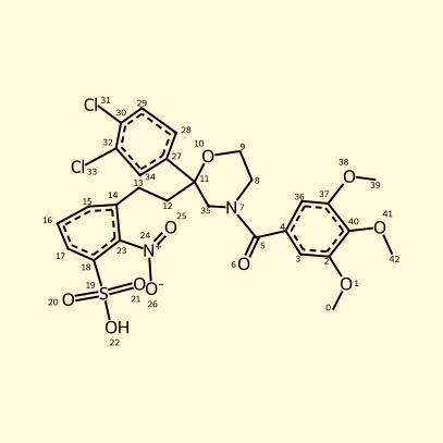 COc1cc(C(=O)N2CCOC(CCc3cccc(S(=O)(=O)O)c3[N+](=O)[O-])(c3ccc(Cl)c(Cl)c3)C2)cc(OC)c1OC